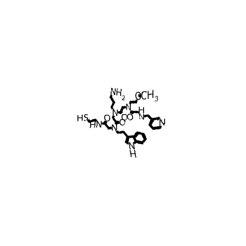 COCCN(CC(=O)N(CCCN)CC(=O)N(CCc1c[nH]c2ccccc12)CC(=O)NCCS)C(=O)CNCc1cccnc1